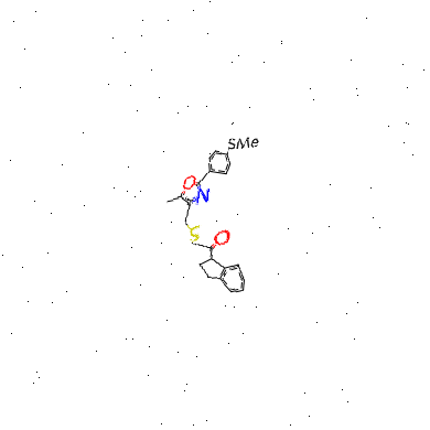 CSc1ccc(-c2nc(CSCC(=O)C3CCc4ccccc43)c(C)o2)cc1